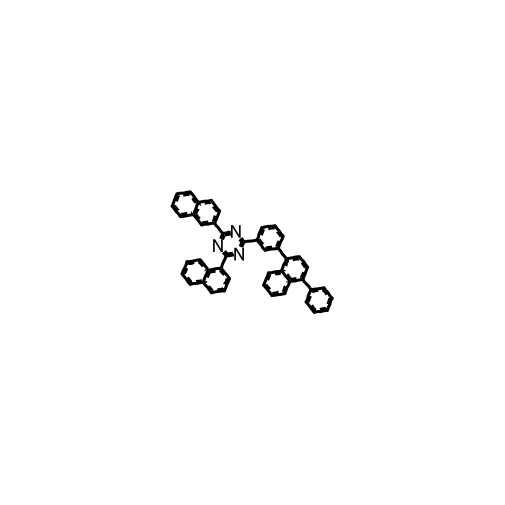 c1ccc(-c2ccc(-c3cccc(-c4nc(-c5ccc6ccccc6c5)nc(-c5cccc6ccccc56)n4)c3)c3ccccc23)cc1